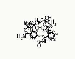 CC(C)(C)N(C(=O)O)c1cccnc1CN.CC(C)(C)OC(=O)Nc1cccnc1CNC=O